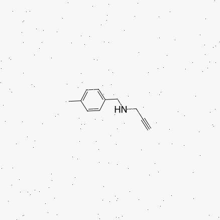 C#CCNCc1ccc(C)cc1